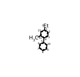 CCc1ccc(-c2ccccc2)c(C)c1